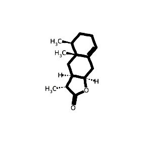 C[C@H]1C(=O)O[C@@H]2CC3=CCC[C@H](C)[C@@]3(C)C[C@@H]21